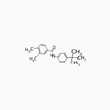 Cc1ccc(C(=O)Nc2ccc(C(C)(C)C)cc2)cc1C